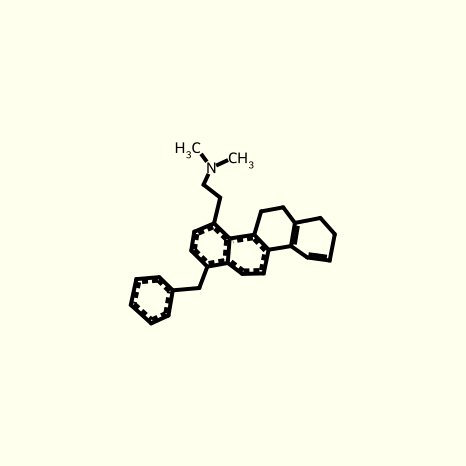 CN(C)CCc1ccc(Cc2ccccc2)c2ccc3c(c12)CCC1=C3C=CCC1